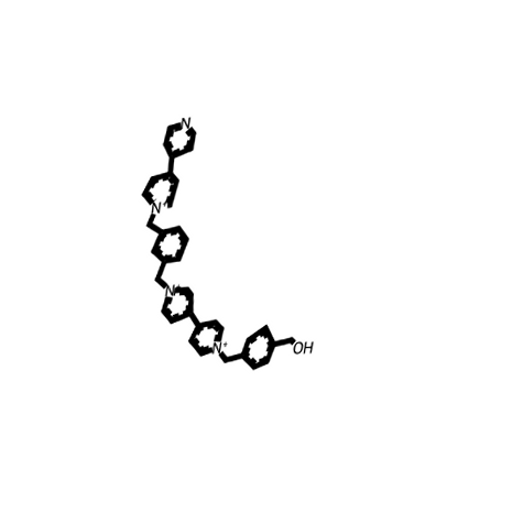 OCc1ccc(C[n+]2ccc(-c3cc[n+](Cc4cccc(C[n+]5ccc(-c6ccncc6)cc5)c4)cc3)cc2)cc1